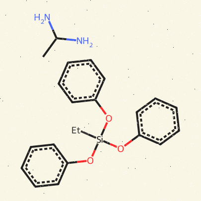 CC(N)N.CC[Si](Oc1ccccc1)(Oc1ccccc1)Oc1ccccc1